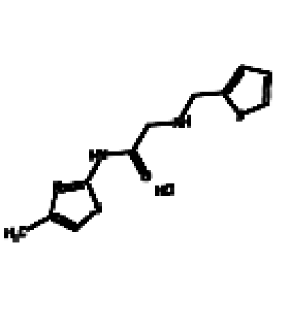 Cc1csc(NC(=O)CNCc2cccs2)n1.Cl